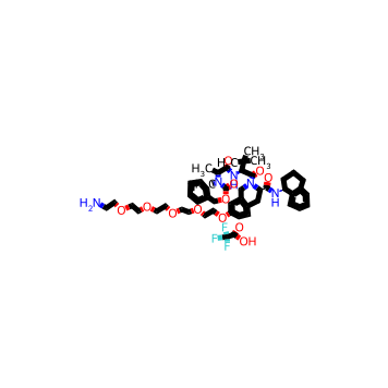 CC(C(=O)N[C@H](C(=O)N1Cc2cc(OCCOCCOCCOCCOCCN)ccc2C[C@H]1C(=O)N[C@@H]1CCCc2ccccc21)C(C)(C)C)N(C)C(=O)OCc1ccccc1.O=C(O)C(F)(F)F